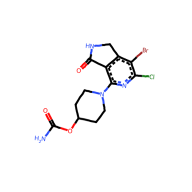 NC(=O)OC1CCN(c2nc(Cl)c(Br)c3c2C(=O)NC3)CC1